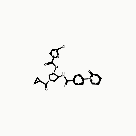 O=C(N[C@H]1CN(C(=O)C2CC2)C[C@H]1NC(=O)c1ccc(Cl)s1)c1ccc(-n2ccccc2=O)cc1